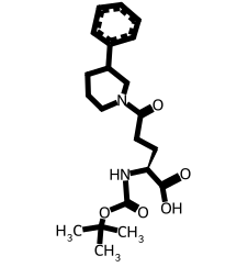 CC(C)(C)OC(=O)N[C@@H](CCC(=O)N1CCCC(c2ccccc2)C1)C(=O)O